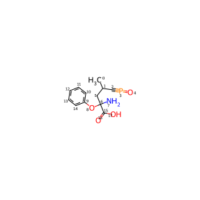 CC(C#P=O)CC(N)(Oc1ccccc1)C(=O)O